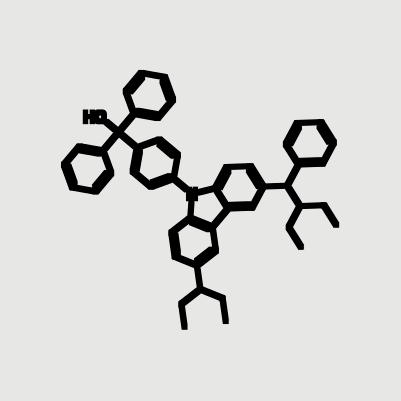 CCC(CC)c1ccc2c(c1)c1cc(C(c3ccccc3)C(CC)CC)ccc1n2-c1ccc(C(O)(c2ccccc2)c2ccccc2)cc1